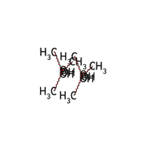 CCCCCCCCCCCCCP(O)(O)(CCCCCCCCCCCCC)OCCCCCCCC.CCCCCCCCCCCCCP(O)(O)(CCCCCCCCCCCCC)OCCCCCCCC